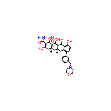 NC(=O)C1=C(O)C[C@@H]2C[C@@H]3Cc4c(-c5cccc(CN6CCOCC6)c5)ccc(O)c4C(=O)C3=C(O)[C@]2(O)C1=O